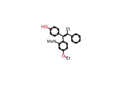 CCOc1ccc(C(=C(CC)c2ccccc2)c2ccc(O)cc2)c(NC)c1